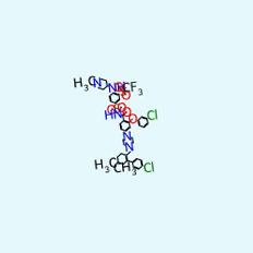 CN1CCC(Nc2ccc(S(=O)(=O)NC(=O)c3ccc(N4CCN(CC5=C(c6ccc(Cl)cc6)CC(C)(C)CC5)CC4)cc3Oc3cccc(Cl)c3)cc2S(=O)(=O)C(F)(F)F)CC1